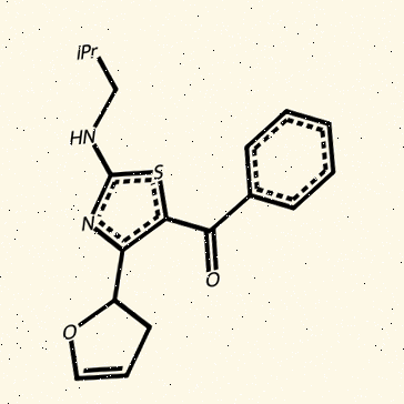 CC(C)CNc1nc(C2CC=CO2)c(C(=O)c2ccccc2)s1